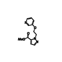 COC(=O)c1ccnn1CCOc1cccnc1